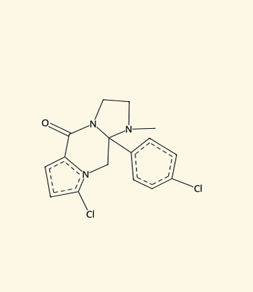 CN1CCN2C(=O)c3ccc(Cl)n3CC12c1ccc(Cl)cc1